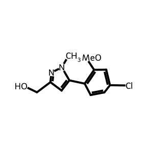 COc1cc(Cl)ccc1-c1cc(CO)nn1C